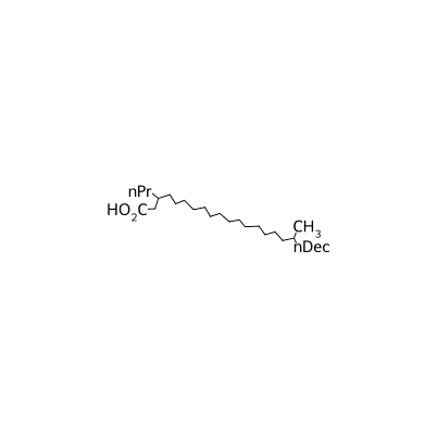 CCCCCCCCCCC(C)CCCCCCCCCCCCCCC(CCC)CC(=O)O